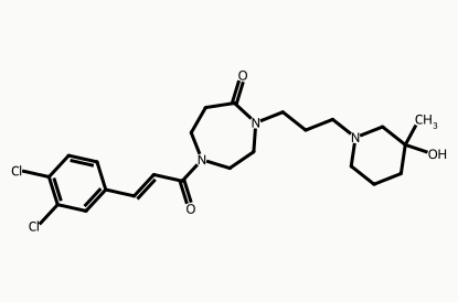 CC1(O)CCCN(CCCN2CCN(C(=O)/C=C/c3ccc(Cl)c(Cl)c3)CCC2=O)C1